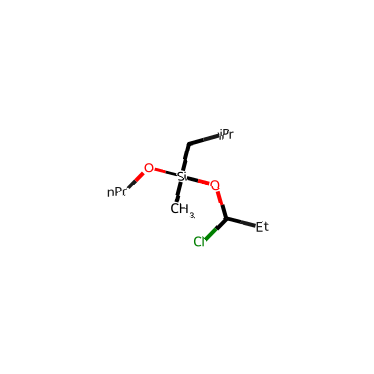 CCCO[Si](C)(CC(C)C)OC(Cl)CC